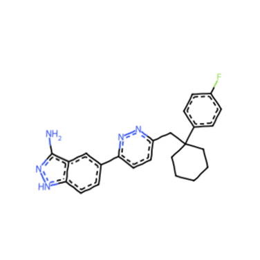 Nc1n[nH]c2ccc(-c3ccc(CC4(c5ccc(F)cc5)CCCCC4)nn3)cc12